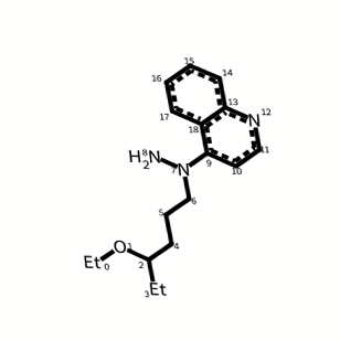 CCOC(CC)CCCN(N)c1ccnc2ccccc12